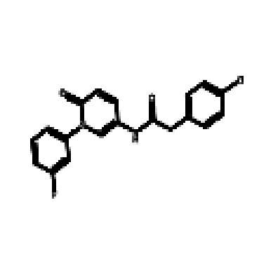 O=C(Cc1ccc(Cl)cc1)Nc1ccc(=O)n(-c2cccc(F)c2)c1